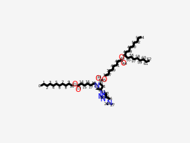 CCCCCCCCCCCOC(=O)CCCCCN1C[C@@H](n2cc(CN(C)C)nn2)C[C@H]1C(=O)OCCCCCCCC(=O)OC(CCCCCCCC)CCCCCCCC